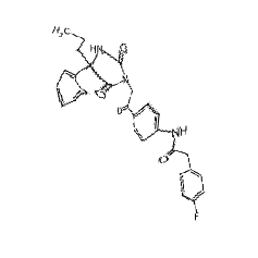 CCCC1(c2ccccc2)NC(=O)N(CC(=O)c2ccc(NC(=O)Cc3ccc(F)cc3)cc2)C1=O